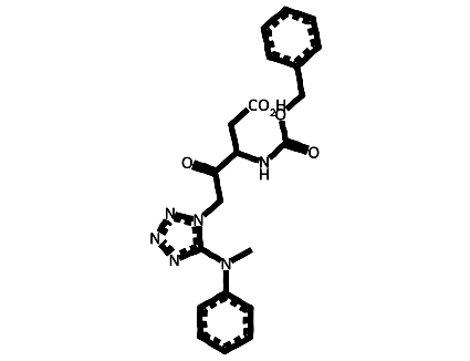 CN(c1ccccc1)c1nnnn1CC(=O)C(CC(=O)O)NC(=O)OCc1ccccc1